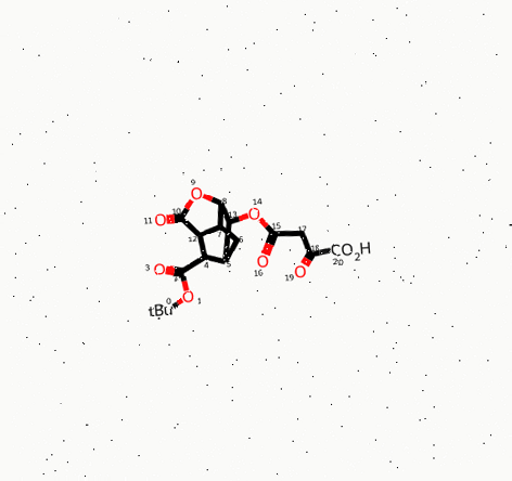 CC(C)(C)OC(=O)C1C2CC3C(OC(=O)C31)C2OC(=O)CC(=O)C(=O)O